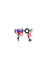 C/C=C/CS(=O)(=O)NC(C)(C)c1ccc(F)c(OCC2CC2)c1